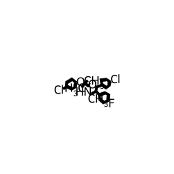 CC(NC(=O)C(C)(C)Oc1ccc(Cl)cc1)C(Cc1ccc(Cl)cc1)c1ccc(F)cc1